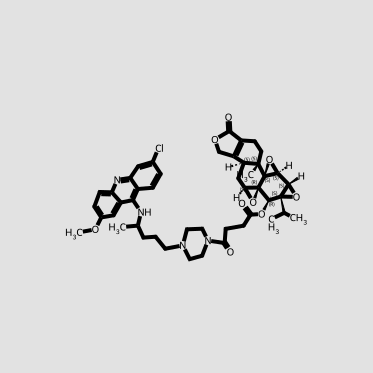 COc1ccc2nc3cc(Cl)ccc3c(NC(C)CCCN3CCN(C(=O)CCC(=O)O[C@@H]4[C@@]5(C(C)C)O[C@H]5[C@@H]5O[C@]56[C@]45O[C@H]5C[C@H]4C5=C(CC[C@@]46C)C(=O)OC5)CC3)c2c1